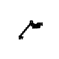 CC(C)CCCCCCCCCCCCCC(=O)OCC(O)CP(=O)(O)O